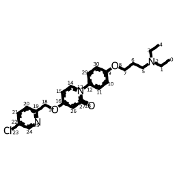 CCN(CC)CCCOc1ccc(-n2ccc(OCc3ccc(Cl)cn3)cc2=O)cc1